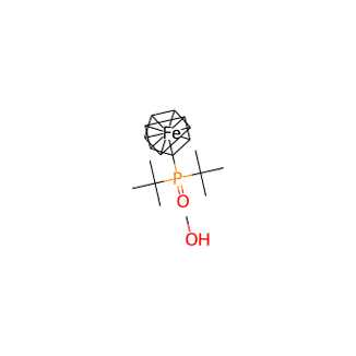 CC(C)(C)P(=O)(C(C)(C)C)[C]12[CH]3[CH]4[CH]5[CH]1[Fe]45321678[CH]2[CH]1[CH]6[CH]7[CH]28.CO